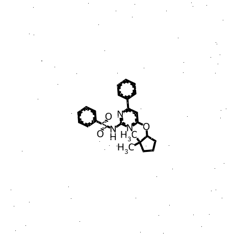 CC1(C)CCCC1Oc1cc(-c2ccccc2)nc(NS(=O)(=O)c2ccccc2)n1